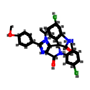 COc1ccc(-c2nc3c(n2C(C)C)[C@@]2(C(=O)Nc4cc(Cl)ccc42)N(c2cc(Cl)ccc2C)C3=O)cc1